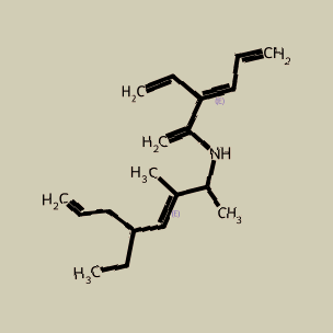 C=C/C=C(\C=C)C(=C)NC(C)/C(C)=C/C(CC)CC=C